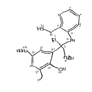 CCCCC(CC)(Pc1ccccc1CS)c1cc(C(C)(C)C)cc(C)c1O